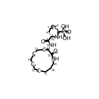 CC[C@H](N[C@@H](CC(C)C)C(=O)N[C@H]1CCCCCCCCCCNC1=O)P(=O)(O)O